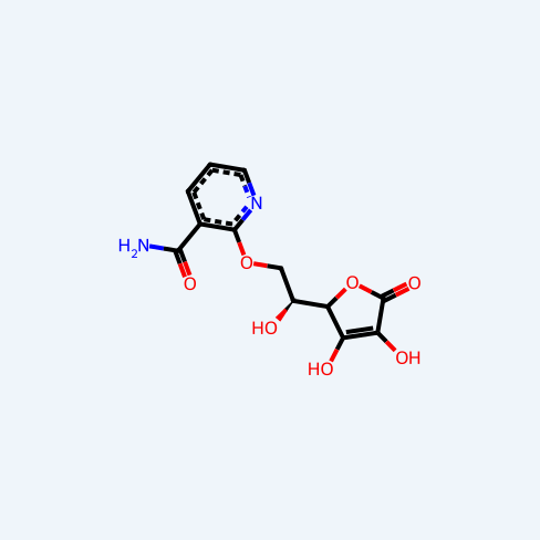 NC(=O)c1cccnc1OC[C@H](O)C1OC(=O)C(O)=C1O